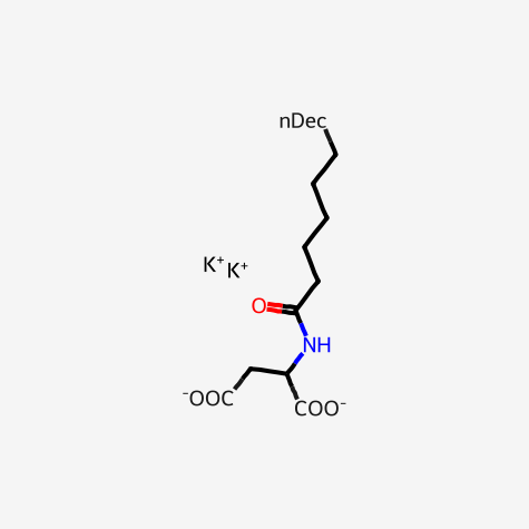 CCCCCCCCCCCCCCCC(=O)NC(CC(=O)[O-])C(=O)[O-].[K+].[K+]